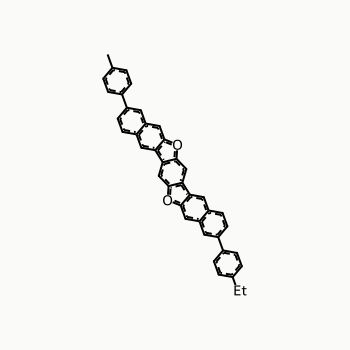 CCc1ccc(-c2ccc3cc4c(cc3c2)oc2cc3c(cc24)oc2cc4cc(-c5ccc(C)cc5)ccc4cc23)cc1